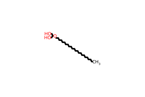 CCCCCCCCCCCCCCCCCCCCCCCCOC(CO)CO